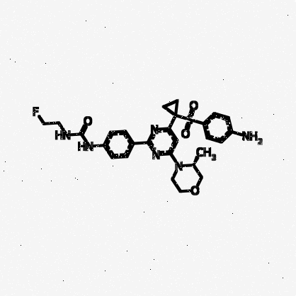 C[C@H]1COCCN1c1cc(C2(S(=O)(=O)c3ccc(N)cc3)CC2)nc(-c2ccc(NC(=O)NCCF)cc2)n1